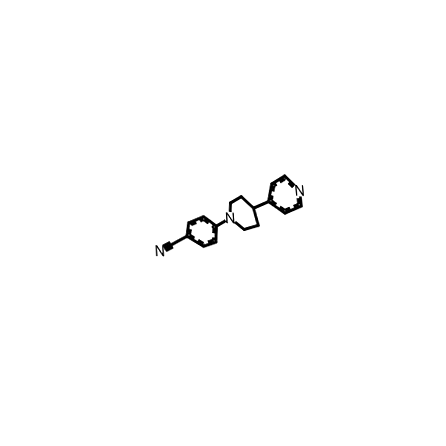 N#Cc1ccc(N2CCC(c3ccncc3)CC2)cc1